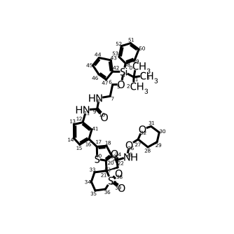 CC(C)(C)[Si](OCCNC(=O)Nc1cccc(-c2ccc([C@@]3(CC(=O)NOC4CCCCO4)CCCCS3(=O)=O)s2)c1)(c1ccccc1)c1ccccc1